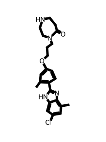 Cc1cc(OCCCN2CCNCCC2=O)ccc1-c1nc2c(C)cc(Cl)cc2[nH]1